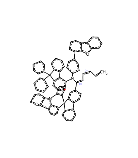 C=C/C=C\C=C(\c1ccc2c(c1)C1(c3ccccc3-2)c2ccccc2-n2c3ccccc3c3cccc1c32)N(c1ccc(-c2cccc3c2oc2ccccc23)cc1)c1cccc2c1-c1ccccc1C2(c1ccccc1)c1ccccc1